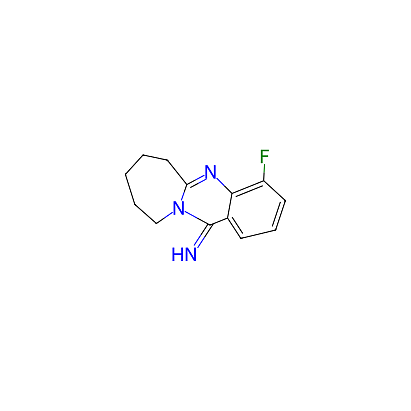 N=c1c2cccc(F)c2nc2n1CCCCC2